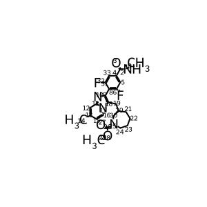 CNC(=O)c1cc(F)c(-c2nc3cc(C)ccn3c2CC2CCCCN(C(=O)OC)C2)c(F)c1